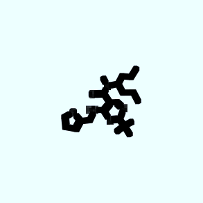 CCCC(CCC)N(C)C(=O)c1cnc(C(C)(C)C)nc1NCc1ccco1